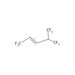 FC(F)(F)/C=C/C(C(F)(F)F)C(F)(F)F